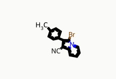 Cc1ccc(-c2c(C#N)c3ccccn3c2Br)cc1